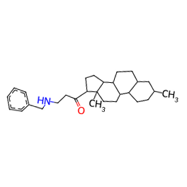 CC1CCC2C(CCC3C2CCC2(C)C(C(=O)CCNCc4ccccc4)CCC32)C1